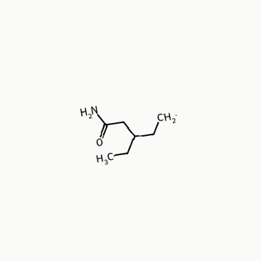 [CH2]CC(CC)CC(N)=O